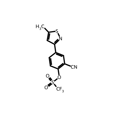 Cc1cc(-c2ccc(OS(=O)(=O)C(F)(F)F)c(C#N)c2)ns1